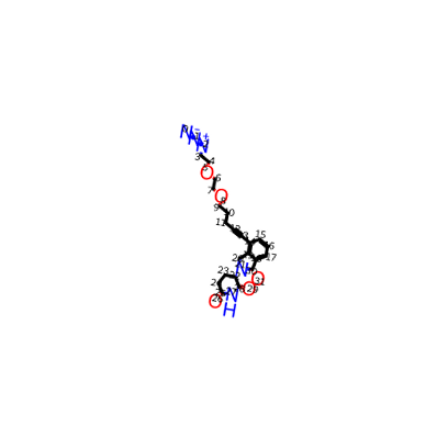 [N-]=[N+]=NCCOCCOCCCC#Cc1cccc2c1CN(C1CCC(=O)NC1=O)C2=O